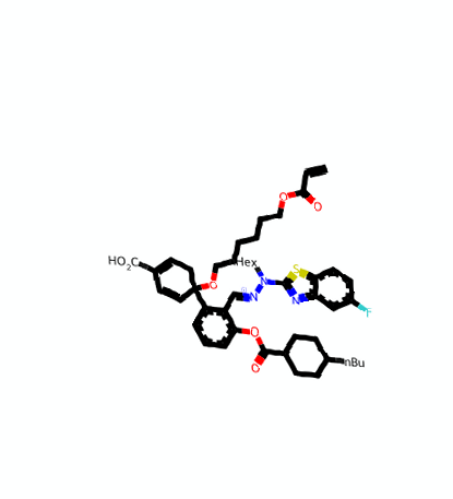 C=CC(=O)OCCCCCCOC1(c2cccc(OC(=O)C3CCC(CCCC)CC3)c2/C=N/N(CCCCCC)c2nc3cc(F)ccc3s2)C=CC(C(=O)O)=CC1